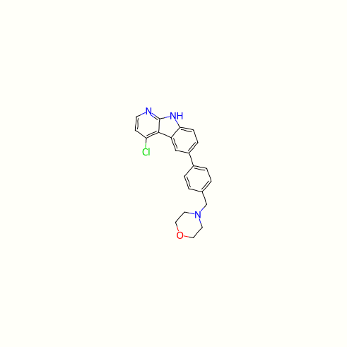 Clc1ccnc2[nH]c3ccc(-c4ccc(CN5CCOCC5)cc4)cc3c12